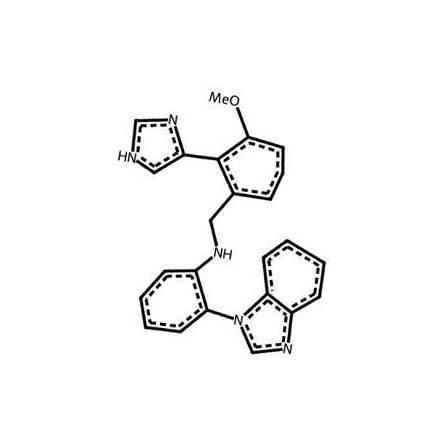 COc1cccc(CNc2ccccc2-n2cnc3ccccc32)c1-c1c[nH]cn1